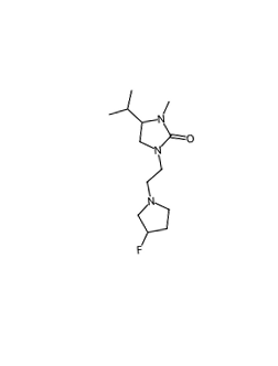 CC(C)C1CN(CCN2CCC(F)C2)C(=O)N1C